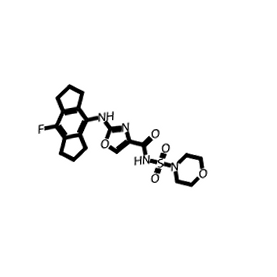 O=C(NS(=O)(=O)N1CCOCC1)c1coc(Nc2c3c(c(F)c4c2CCC4)CCC3)n1